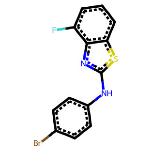 Fc1cccc2sc(Nc3ccc(Br)cc3)nc12